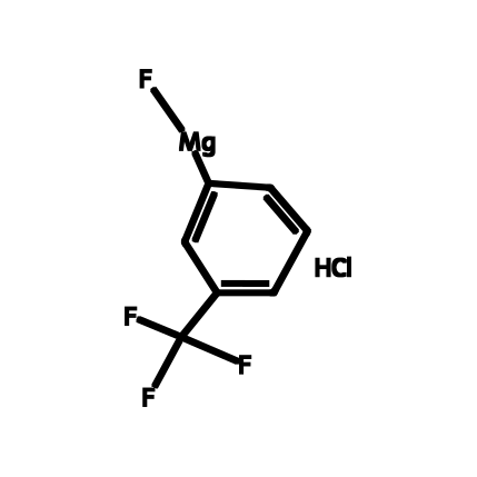 Cl.[F][Mg][c]1cccc(C(F)(F)F)c1